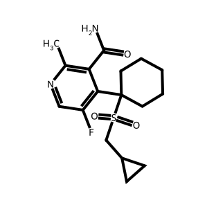 Cc1ncc(F)c(C2(S(=O)(=O)CC3CC3)CCCCC2)c1C(N)=O